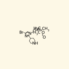 CC(C)(C)OC=O.OCCn1cc(Br)nc1C1CCNCC1